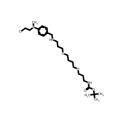 CN(CCCl)c1ccc(CNCCCOCCCCOCCCNC(=O)OC(C)(C)C)cc1